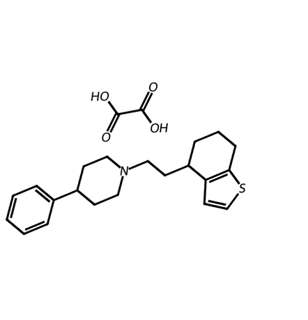 O=C(O)C(=O)O.c1ccc(C2CCN(CCC3CCCc4sccc43)CC2)cc1